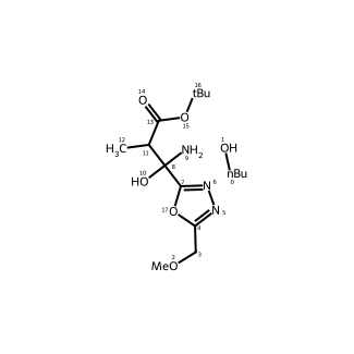 CCCCO.COCc1nnc(C(N)(O)C(C)C(=O)OC(C)(C)C)o1